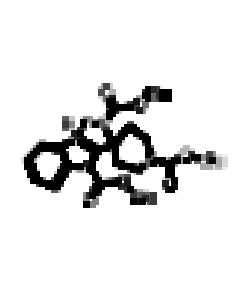 CN(C(=O)OC(C)(C)C)C1(c2nc3ccccc3n2C(=O)OC(C)(C)C)CCN(C(=O)OC(C)(C)C)CC1